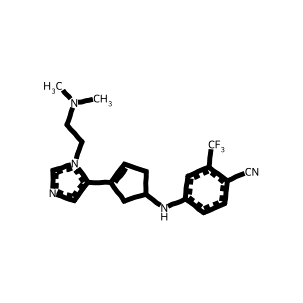 CN(C)CCn1cncc1C1=CCC(Nc2ccc(C#N)c(C(F)(F)F)c2)C1